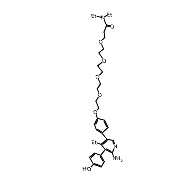 CCc1c(-c2ccc(OCCOCCOCCOCCOCCC(=O)N(CC)CC)cc2)cnc(N)c1-c1ccc(O)cc1